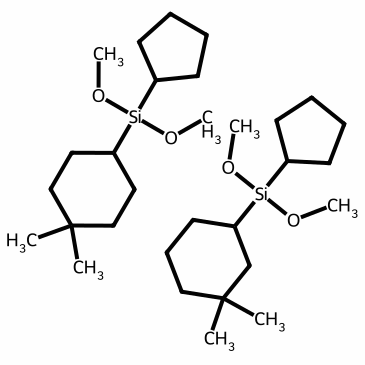 CO[Si](OC)(C1CCCC1)C1CCC(C)(C)CC1.CO[Si](OC)(C1CCCC1)C1CCCC(C)(C)C1